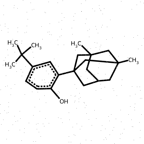 CC12CC3CC(C)(C1)CC(c1cc(C(C)(C)C)ccc1O)(C3)C2